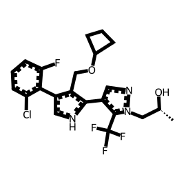 C[C@@H](O)Cn1ncc(-c2[nH]cc(-c3c(F)cccc3Cl)c2COC2CCC2)c1C(F)(F)F